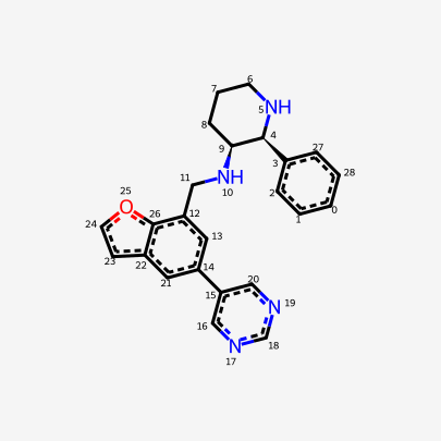 c1ccc([C@@H]2NCCC[C@@H]2NCc2cc(-c3cncnc3)cc3ccoc23)cc1